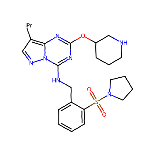 CC(C)c1cnn2c(NCc3ccccc3S(=O)(=O)N3CCCC3)nc(OC3CCCNC3)nc12